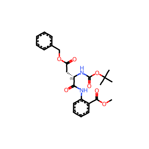 COC(=O)c1ccccc1NC(=O)[C@H](CC(=O)OCc1ccccc1)NC(=O)OC(C)(C)C